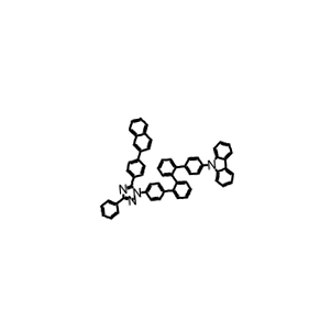 c1ccc(-c2nc(-c3ccc(-c4ccc5ccccc5c4)cc3)n(-c3ccc(-c4ccccc4-c4ccccc4-c4ccc(-n5c6ccccc6c6ccccc65)cc4)cc3)n2)cc1